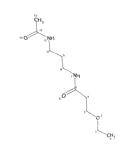 CCOCCC(=O)NCCCNC(C)=O